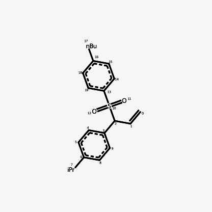 C=CC(c1ccc(C(C)C)cc1)S(=O)(=O)c1ccc(CCCC)cc1